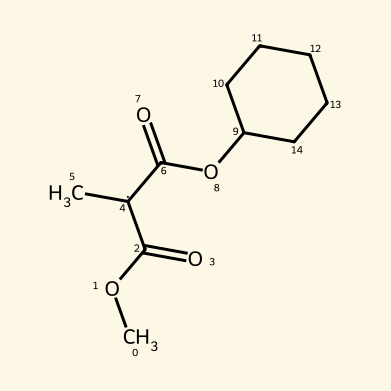 COC(=O)[C](C)C(=O)OC1CCCCC1